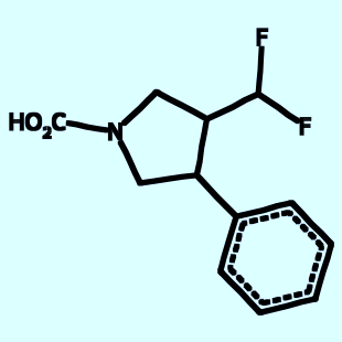 O=C(O)N1CC(c2ccccc2)C(C(F)F)C1